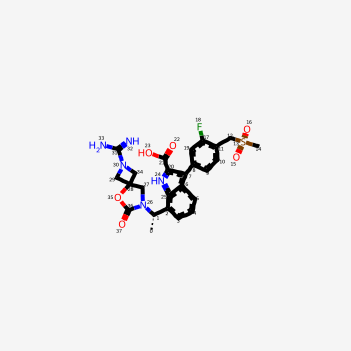 C[C@@H](c1cccc2c(-c3ccc(CS(C)(=O)=O)c(F)c3)c(C(=O)O)[nH]c12)N1CC2(CN(C(=N)N)C2)OC1=O